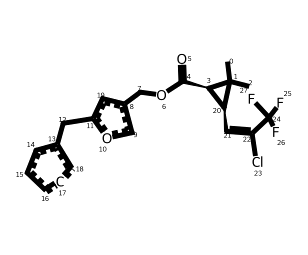 CC1(C)[C@H](C(=O)OCc2coc(Cc3ccccc3)c2)[C@@H]1/C=C(/Cl)C(F)(F)F